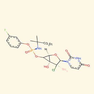 B[C@@]1(Cl)[C@H](n2ccc(=O)[nH]c2=O)O[C@@H]2C(O[P@@](=O)(NC(C)(C)C(=O)OCC)Oc3cccc(F)c3)[C@@]21O